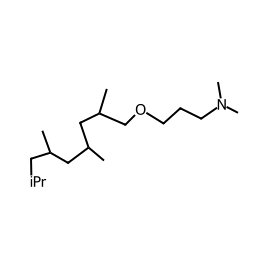 CC(C)CC(C)CC(C)CC(C)COCCCN(C)C